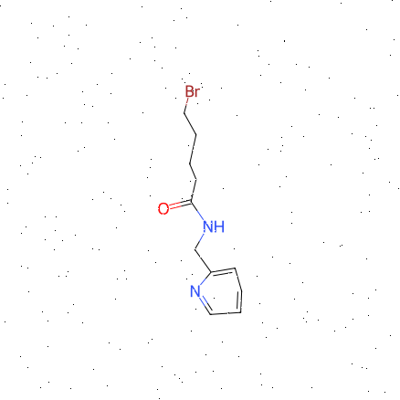 O=C(CCCCBr)NCc1ccccn1